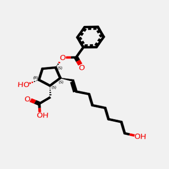 O=C(O)C[C@H]1[C@H](C=CCCCCCCO)[C@@H](OC(=O)c2ccccc2)C[C@H]1O